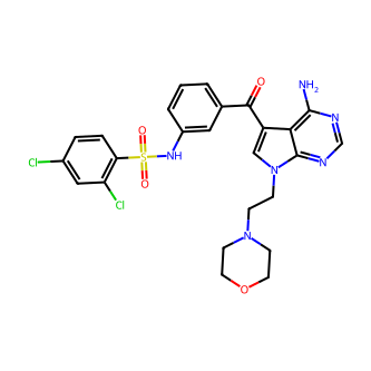 Nc1ncnc2c1c(C(=O)c1cccc(NS(=O)(=O)c3ccc(Cl)cc3Cl)c1)cn2CCN1CCOCC1